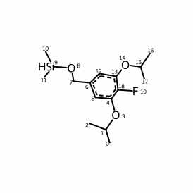 CC(C)Oc1cc(CO[SiH](C)C)cc(OC(C)C)c1F